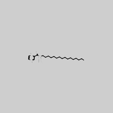 CCCCCCCCCCCCCCCCNC(=O)c1cnccn1